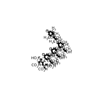 CC(C)(O)CON1C(C)(C)CC(=O)CC1(C)C.CC(C)(O)CON1C(C)(C)CC(=O)CC1(C)C.CC(C)(O)CON1C(C)(C)CC(=O)CC1(C)C.CC(C)(O)CON1C(C)(C)CC(=O)CC1(C)C.O=C(O)CN(CCN(CC(=O)O)CC(=O)O)CC(=O)O